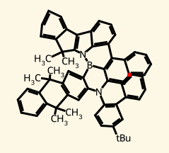 CC(C)(C)c1ccc(N2c3cc4c(cc3B3c5c2cc2ccccc2c5-c2cccc5c6c(n3c25)C(C)(C)c2ccccc2-6)C(C)(C)c2ccccc2C4(C)C)c(-c2ccccc2)c1